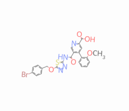 COc1ccccc1-c1cc(C(=O)O)ncc1C(=O)Nc1nnc(OCc2ccc(Br)cc2)s1